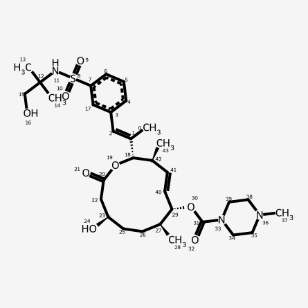 C/C(=C\c1cccc(S(=O)(=O)NC(C)(C)CO)c1)[C@H]1OC(=O)C[C@H](O)CC[C@H](C)[C@@H](OC(=O)N2CCN(C)CC2)/C=C/[C@@H]1C